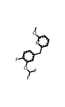 COc1cccc([CH]c2ccc(F)c(OC(F)F)c2)n1